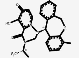 Cc1cccc2c1SCc1ccccc1[C@@H]2N1CN([C@H](C)C(F)(F)F)C(=O)c2c(O)c(=O)ccn21